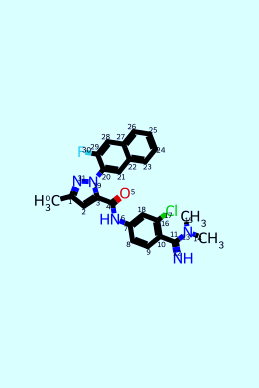 Cc1cc(C(=O)Nc2ccc(C(=N)N(C)C)c(Cl)c2)n(-c2cc3ccccc3cc2F)n1